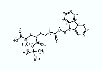 C[C@@H](CN(CCNC(=O)OCC1c2ccccc2-c2ccccc21)C(=O)OC(C)(C)C)C(=O)O